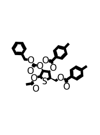 CC(=O)OC1S[C@H](COC(=O)c2ccc(C)cc2)[C@H](OC(=O)c2ccc(C)cc2)[C@@H]1OC(=O)OCc1ccccc1